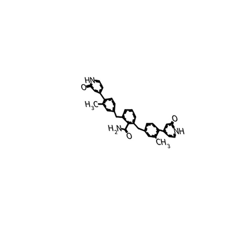 Cc1cc(Cc2cccc(Cc3ccc(-c4cc[nH]c(=O)c4)c(C)c3)c2C(N)=O)ccc1-c1cc[nH]c(=O)c1